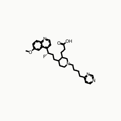 COc1ccc2nccc([C@@H](F)CCC3CCN(CCCCc4ccncn4)CC3CCC(=O)O)c2c1